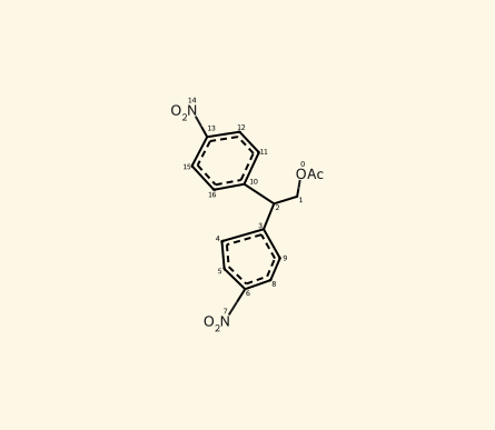 CC(=O)OCC(c1ccc([N+](=O)[O-])cc1)c1ccc([N+](=O)[O-])cc1